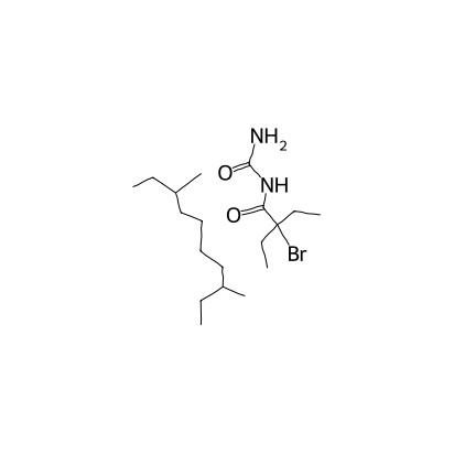 CCC(Br)(CC)C(=O)NC(N)=O.CCC(C)CCCCC(C)CC